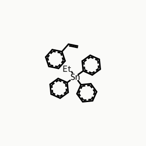 C=Cc1ccccc1.C[CH2][Sn]([c]1ccccc1)([c]1ccccc1)[c]1ccccc1